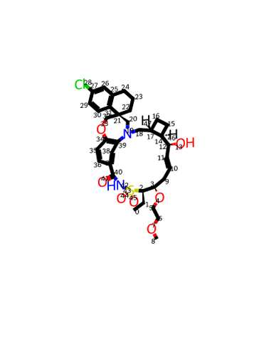 CC[C@@H]1[C@@H](OCCOC)C/C=C/[C@H](O)[C@@H]2CC[C@H]2CN2C[C@@]3(CCCc4cc(Cl)ccc43)COc3ccc(cc32)C(=O)NS1(=O)=O